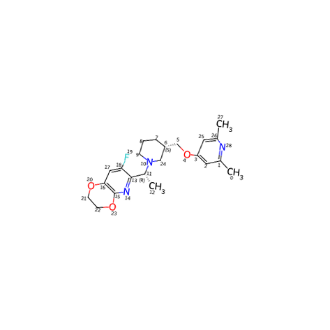 Cc1cc(OC[C@H]2CCCN([C@H](C)c3nc4c(cc3F)OCCO4)C2)cc(C)n1